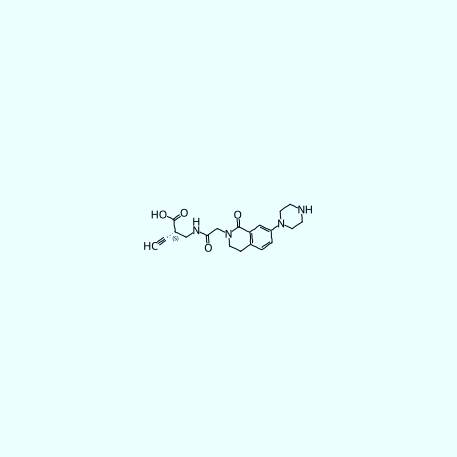 C#C[C@@H](CNC(=O)CN1CCc2ccc(N3CCNCC3)cc2C1=O)C(=O)O